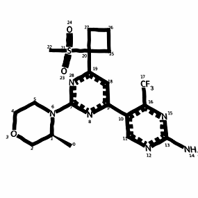 C[C@H]1COCCN1c1nc(-c2cnc(N)nc2C(F)(F)F)cc(C2(S(C)(=O)=O)CCC2)n1